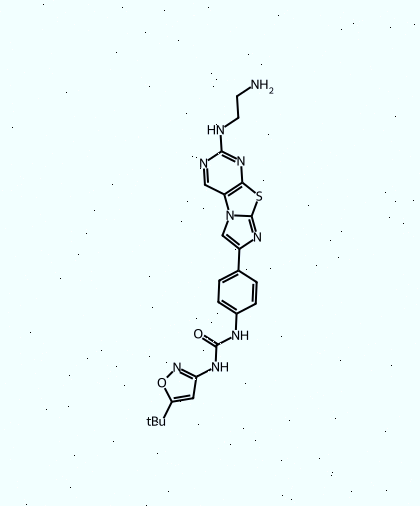 CC(C)(C)c1cc(NC(=O)Nc2ccc(-c3cn4c(n3)sc3nc(NCCN)ncc34)cc2)no1